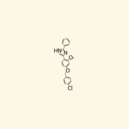 COc1cc(OCc2ccc(Cl)cc2)ccc1-c1c[nH]c(-c2ccccc2)n1